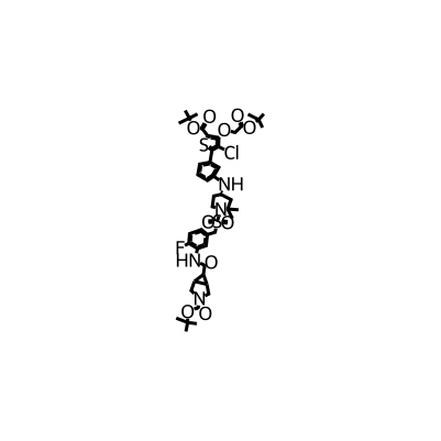 CC(C)(C)OC(=O)COc1c(C(=O)OC(C)(C)C)sc(-c2cccc(N[C@@H]3CCN(S(=O)(=O)Cc4ccc(F)c(NC(=O)C5C6CN(C(=O)OC(C)(C)C)CC65)c4)C(C)(C)C3)c2)c1Cl